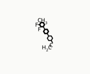 C=C=CC1CCC(c2ccc(-c3ccc(C)c(F)c3F)cc2)CC1